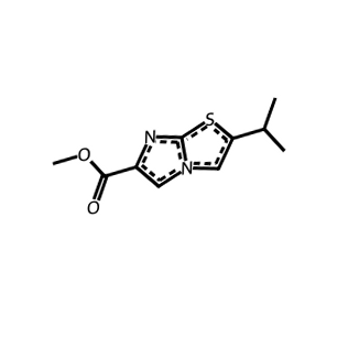 COC(=O)c1cn2cc(C(C)C)sc2n1